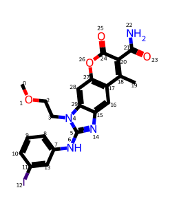 COCCn1c(Nc2cccc(I)c2)nc2cc3c(C)c(C(N)=O)c(=O)oc3cc21